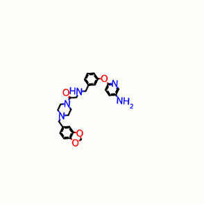 Nc1ccc(Oc2cccc(CNCC(=O)N3CCN(Cc4ccc5c(c4)OCO5)CC3)c2)nc1